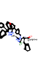 CCCCc1nc(Cl)c(/C=C(\CC2CCCC2)C(=O)OC)n1Cc1ccc(-c2ccccc2-c2nnnn2C(c2ccccc2)(c2ccccc2)c2ccccc2)cc1